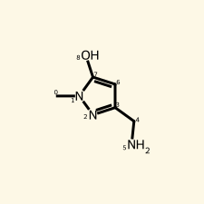 Cn1nc(CN)cc1O